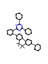 CC1(C)c2cc(-c3ccccc3)ccc2-c2ccc(-c3ccccc3-c3nc(-c4ccccc4)nc(-c4ccccc4)n3)cc2C1(C)C